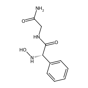 NC(=O)CNC(=O)[C@@H](NO)c1ccccc1